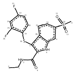 CCNC(=O)c1[nH]c2cc(S(C)(=O)=O)ccc2c1Sc1ccc(F)cc1F